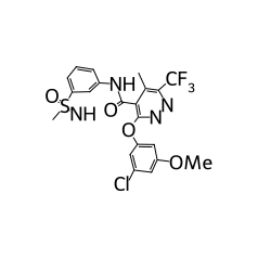 COc1cc(Cl)cc(Oc2nnc(C(F)(F)F)c(C)c2C(=O)Nc2cccc(S(C)(=N)=O)c2)c1